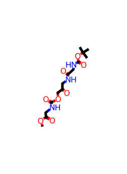 COC(=O)CNC(=O)OCC(=O)CNC(=O)CNC(=O)OC(C)(C)C